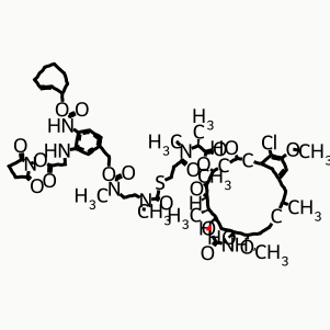 COC1=C(Cl)C2CC(=C1)CC(C)CCC[C@@H](OC)[C@@]1(O)C[C@H](OC(=O)N1)[C@@H](C)[C@@H]1O[C@@]1(C)[C@@H](OC(=O)[C@H](C)N(C)C(=O)CCSC(=O)N(C)CCN(C)C(=O)OCc1ccc(NC(=O)OC3/C=C/CCCCC3)c(NCC(=O)ON3C(=O)CCC3=O)c1)CC(O)C2